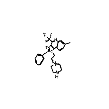 Cc1ccc2c(c1)nc(C(F)(F)F)c1nc(-c3ccccc3)n(CCN3CCNCC3)c12